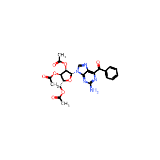 CC(=O)OC[C@H]1O[C@@H](n2cnc3c(C(=O)c4ccccc4)nc(N)nc32)[C@H](OC(C)=O)[C@@H]1OC(C)=O